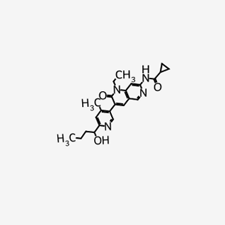 CCCC(O)c1cc(C)c(-c2cc3cnc(NC(=O)C4CC4)cc3n(CC)c2=O)cn1